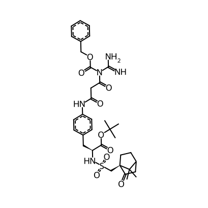 CC(C)(C)OC(=O)[C@H](Cc1ccc(NC(=O)CC(=O)N(C(=N)N)C(=O)OCc2ccccc2)cc1)NS(=O)(=O)C[C@]12CCC(CC1=O)C2(C)C